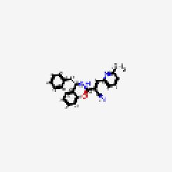 Bc1cccc(/C=C(\C#N)C(=O)N[C@@H](Cc2ccccc2)c2ccccc2)n1